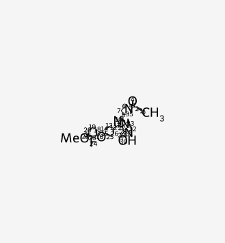 CC#CC(=O)N1CC[C@@H](c2nc(-c3ccc(Oc4cccc(OC)c4F)cc3)c3c(CO)nccn23)C1